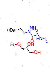 CCCCCCCCCCCCN(N)C(=O)NN.CCOCC(O)CO